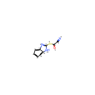 N#CC(=O)Sc1nc2ccccc2[nH]1